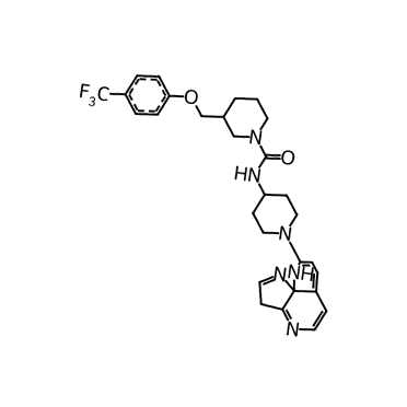 O=C(NC1CCN(C2=CC=C3C=CN=C4CC=NC34N2)CC1)N1CCCC(COc2ccc(C(F)(F)F)cc2)C1